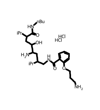 CCCCNC(=O)C(CC(O)C(N)CC(CNC(=O)c1ccccc1OCCCN)C(C)C)C(C)C.Cl.Cl